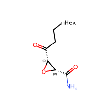 CCCCCCCCC(=O)[C@H]1O[C@H]1C(N)=O